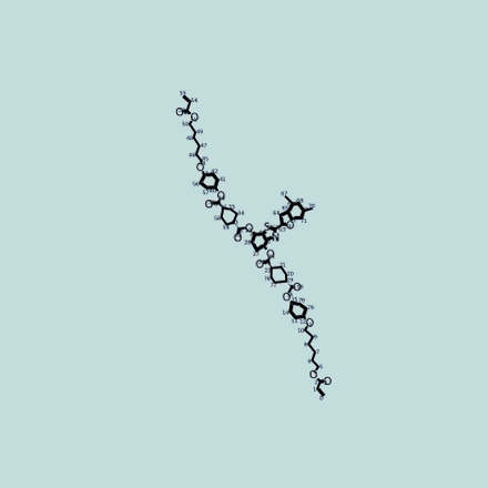 C=CC(=O)OCCCCCCOc1ccc(OC(=O)[C@H]2CC[C@H](C(=O)Oc3ccc(OC(=O)[C@H]4CC[C@H](C(=O)Oc5ccc(OCCCCCCOC(=O)C=C)cc5)CC4)c4sc(-c5cc6c(C)cc(C)cc6o5)nc34)CC2)cc1